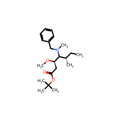 CC[C@H](C)C([C@@H](CC(=O)OC(C)(C)C)OC)N(C)Cc1ccccc1